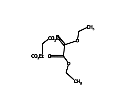 CCOC(=O)C(=O)OCC.CCOC(=O)CC(=O)OCC